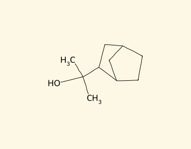 CC(C)(O)C1CC2CCC1C2